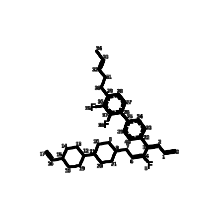 C=C/C=C(\C(F)=C/CC1CCC(C2CCC(C=C)CC2)CC1)c1ccc(-c2ccc(CC/C=C/C)c(F)c2F)cc1